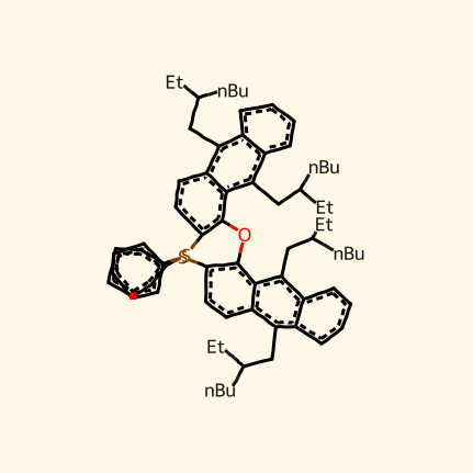 CCCCC(CC)Cc1c2ccccc2c(CC(CC)CCCC)c2c(Oc3c(Sc4ccccc4)ccc4c(CC(CC)CCCC)c5ccccc5c(CC(CC)CCCC)c34)c(Sc3ccccc3)ccc12